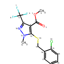 COC(=O)c1c(C(F)(F)F)nn(C)c1SCc1ccccc1Cl